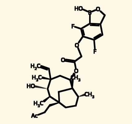 C=C[C@]1(C)C[C@@H](OC(=O)COc2c(F)cc3c(c2F)B(O)OC3)[C@@]2(C)C[C@](CCC(C)=O)(CC[C@H]2C)[C@@H](C)[C@@H]1O